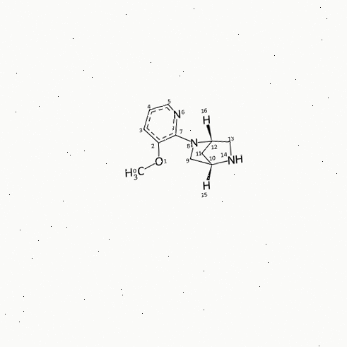 COc1cccnc1N1C[C@@H]2C[C@H]1CN2